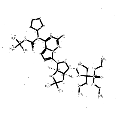 CCOP(=O)(OCC)[C@](CO)(COC)OC[C@H]1O[C@H](c2ccc3c(N(C(=O)OC(C)(C)C)C4CCCC4)nc(Cl)nn23)[C@@H]2OC(C)(C)O[C@@H]21